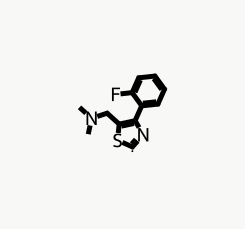 CN(C)Cc1s[c]nc1-c1ccccc1F